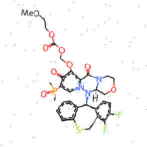 COCCOC(=O)OCOc1c2n(cc(P(C)(C)=O)c1=O)N([C@@H]1c3ccccc3SCc3c1ccc(F)c3F)[C@@H]1COCCN1C2=O